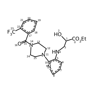 CCOC(=O)C(O)CNc1cccnc1N1CCN(C(=O)c2ccccc2C(F)(F)F)CC1